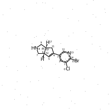 Clc1cc(C2=C[C@@H]3CNC[C@@H]3C2)cnc1Br